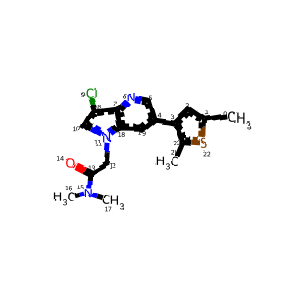 Cc1cc(-c2cnc3c(Cl)cn(CC(=O)N(C)C)c3c2)c(C)s1